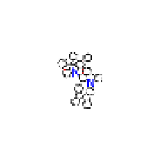 c1ccc(-c2cccc(-c3ccccc3N(c3ccc4c(c3)C3(c5ccccc5-c5ccccc53)c3ccccc3-4)c3ccc4c(c3)c3cccc5c3n4-c3ccccc3C53c4ccccc4-c4ccccc43)c2)cc1